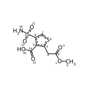 COC(=O)Cc1scc(S(N)(=O)=O)c1C(=O)O